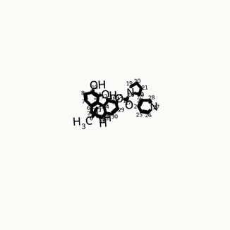 CN1CC[C@]23c4c5ccc(O)c4O[C@H]2[C@@H](OC(=O)N2CCC[C@@H]2c2cccnc2)C=C[C@H]3[C@H]1C5